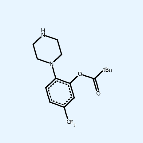 CC(C)(C)C(=O)Oc1cc(C(F)(F)F)ccc1N1CCNCC1